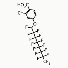 O=C(O)c1ccc(OC(F)C(F)(F)C(F)(F)C(F)(F)C(F)(F)C(F)(F)C(F)(F)C(F)(F)F)cc1Cl